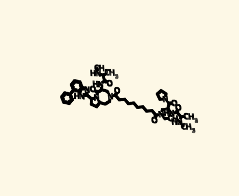 CCN(C[C@H](NC(=O)C(C)NC)C(=O)N1CCCC1)C(=O)CCCCCCCCC(=O)N1CCC2CCC(c3nc4cccc(-c5ccccc5)c4[nH]3)N2C(=O)C(NC(=O)C(C)NC)C1